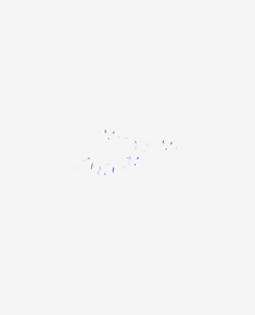 COc1cc(C[n+]2ccc(-c3cc[n+](Cc4cc(C)cc(F)c4)cc3)cc2)cc(OC)c1